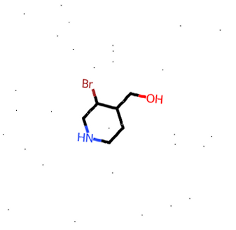 OCC1CCNCC1Br